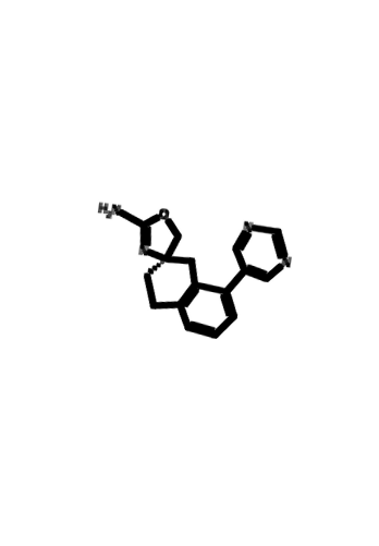 NC1=N[C@@]2(CCc3cccc(-c4cncnc4)c3C2)CO1